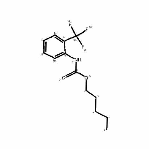 CCCCCOC(=O)Nc1ccccc1C(F)(F)F